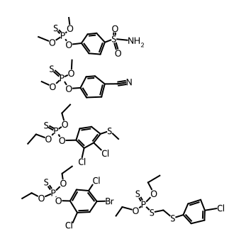 CCOP(=S)(OCC)Oc1cc(Cl)c(Br)cc1Cl.CCOP(=S)(OCC)Oc1ccc(SC)c(Cl)c1Cl.CCOP(=S)(OCC)SCSc1ccc(Cl)cc1.COP(=S)(OC)Oc1ccc(C#N)cc1.COP(=S)(OC)Oc1ccc(S(N)(=O)=O)cc1